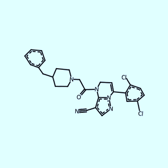 N#Cc1cnn2c1N(C(=O)CN1CCC(Cc3ccccc3)CC1)CC=C2c1cc(Cl)ccc1Cl